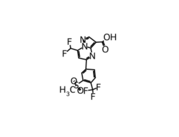 CS(=O)(=O)c1cc(-c2cc(C(F)F)n3ncc(C(=O)O)c3n2)ccc1C(F)(F)F